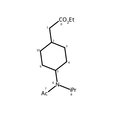 CCOC(=O)CC1CCC(N(C(C)=O)C(C)C)CC1